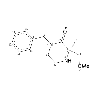 COC[C@@]1(C)NCCN(Cc2ccccc2)C1=O